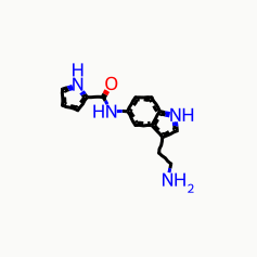 NCCc1c[nH]c2ccc(NC(=O)c3ccc[nH]3)cc12